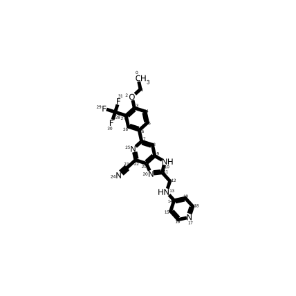 CCOc1ccc(-c2cc3[nH]c(CNc4ccncc4)nc3c(C#N)n2)cc1C(F)(F)F